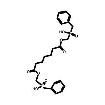 O=C(CCCCCC(=O)OCP(=O)(O)Cc1ccccc1)OCP(=O)(O)Cc1ccccc1